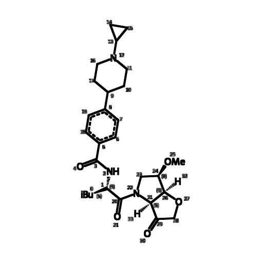 CC[C@H](C)[C@H](NC(=O)c1ccc(C2CCN(C3CC3)CC2)cc1)C(=O)N1C[C@@H](OC)[C@H]2OCC(=O)[C@H]21